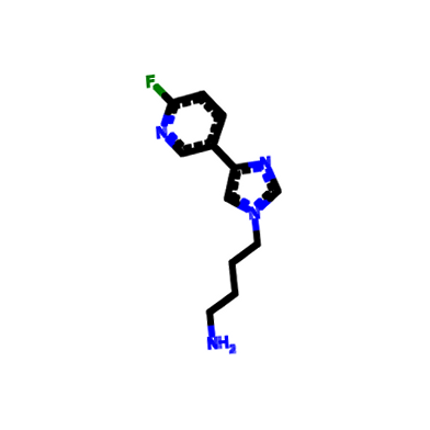 NCCCCn1cnc(-c2ccc(F)nc2)c1